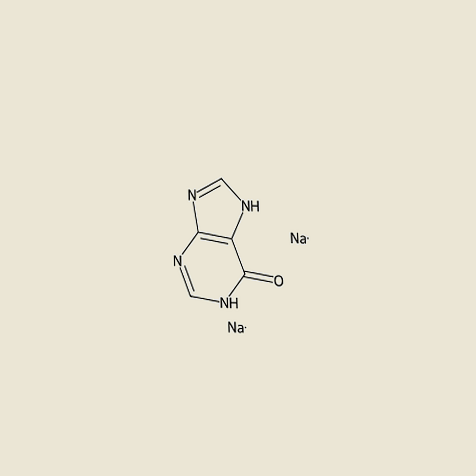 O=c1[nH]cnc2nc[nH]c12.[Na].[Na]